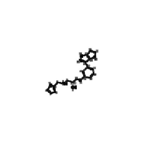 O[C@H](CNCc1ccco1)COc1cccc(-c2noc3ccsc23)c1